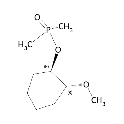 CO[C@@H]1CCCC[C@H]1OP(C)(C)=O